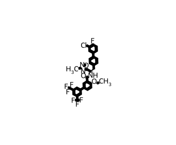 CCOc1ccc(-c2cc(C(F)(F)F)cc(C(F)(F)F)c2)cc1C(=O)N[C@H](Cc1ccc(-c2ccc(F)c(Cl)c2)cc1)c1nc(C)no1